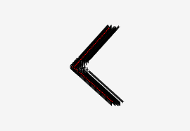 [Na+].[Na+].[Na+].[Na+].[Na+].[Na+].[Na+].[Na+].[Na+].[Na+].[Na+].[Na+].[Na+].[Na+].[Na+].[Na+].[Na+].[Na+].[Na+].[Na+].[Na+].[Na+].[Na+].[Na+].[Na+].[Na+].[Na+].[Na+].[Na+].[Na+].[Na+].[Na+].[Na+].[Na+].[Na+].[Na+].[Na+].[Na+].[Na+].[Na+].[Na+].[Na+].[Na+].[Na+].[Na+].[Na+].[Na+].[Na+].[Na+].[Na+].[Na+].[Na+].[Na+].[Na+].[Na+].[Na+].[Na+].[Na+].[Na+].[Na+].[Na+].[Na+].[Na+].[Na+].[Na+].[Na+].[Na+].[Na+].[Na+].[Na+].[Na+].[Na+].[Na+].[Na+].[Na+].[Na+].[Na+].[Na+].[Na+].[Na+].[Na+].[Na+].[Na+].[Na+].[Na+].[Na+].[Na+].[Na+].[Na+].[Na+].[Na+].[Na+].[Na+].[Na+].[Na+].[Na+].[Na+].[Na+].[Na+].[Na+].[Na+].[Na+].[Na+].[Na+].[Na+].[Na+].[Na+].[O-][Cl+2]([O-])O.[O-][Cl+2]([O-])O.[O-][Cl+2]([O-])O.[O-][Cl+2]([O-])O.[O-][Cl+2]([O-])O.[O-][Cl+2]([O-])O